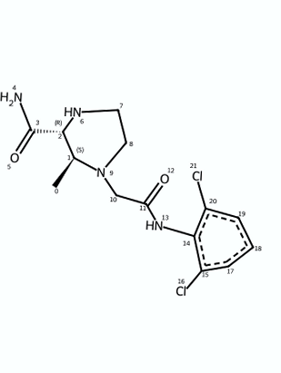 C[C@H]1[C@H](C(N)=O)NCCN1CC(=O)Nc1c(Cl)cccc1Cl